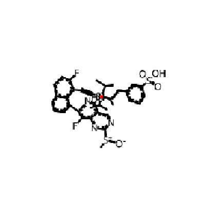 CC(C)[Si](C#Cc1c(F)ccc2cccc(-c3nc(NCCc4cccc(S(=O)(=O)O)c4)c4cnc([S+](C)[O-])nc4c3F)c12)(C(C)C)C(C)C